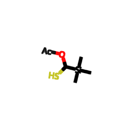 CC(=O)OC(S)[Si](C)(C)C